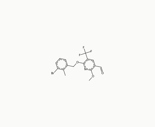 COc1nc(OCc2cccc(Br)c2C)c(C(F)(F)F)cc1C=O